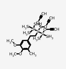 C#CO[SiH](OC#C)[Si](CCc1cc(C)c(OC)c(OC)c1)([Si]([SiH3])([SiH3])[SiH3])[Si]([SiH3])([SiH3])OC#C